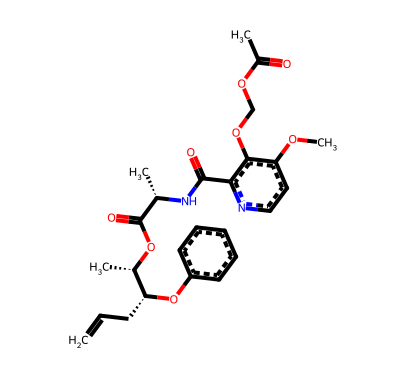 C=CC[C@@H](Oc1ccccc1)[C@H](C)OC(=O)[C@H](C)NC(=O)c1nccc(OC)c1OCOC(C)=O